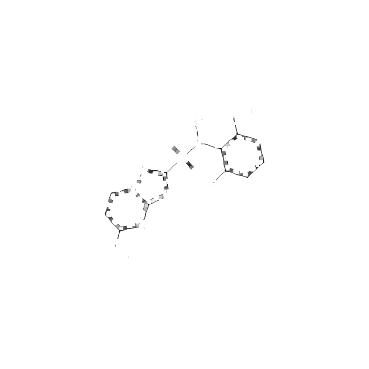 Cc1ccn2nc(S(=O)(=O)N(c3c(Cl)cccc3C(=O)O)C(C)C)nc2n1